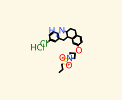 CCCS(=O)(=O)N1CC(Oc2ccc3c(c2)C(Cc2cccc(Cl)c2)C(N)CC3)C1.Cl